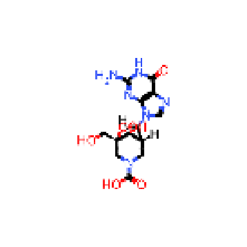 Nc1nc2c(ncn2[C@@H]2O[C@@]3(CO)CN(C(=O)O)C[C@@H]2[C@@H]3O)c(=O)[nH]1